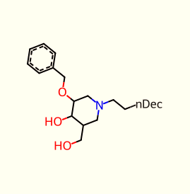 CCCCCCCCCCCCN1CC(CO)C(O)C(OCc2ccccc2)C1